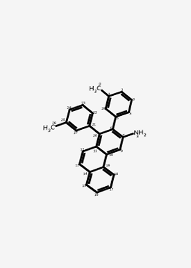 Cc1cccc(-c2c(N)cc3c(ccc4ccccc43)c2-c2cccc(C)c2)c1